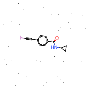 O=C(NC1CC1)c1ccc(C#CI)cc1